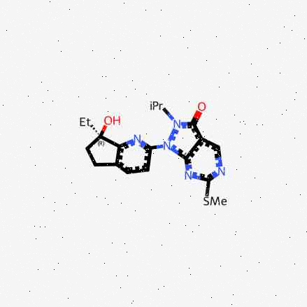 CC[C@@]1(O)CCc2ccc(-n3c4nc(SC)ncc4c(=O)n3C(C)C)nc21